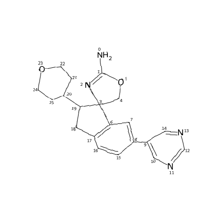 NC1=NC2(CO1)c1cc(-c3cncnc3)ccc1CC2C1CCOCC1